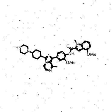 COc1cc(-c2nc(C3CCC(N4CCNCC4)CC3)n3ccnc(C)c23)ccc1NC(=O)c1cc2c(OC)cccc2n1C